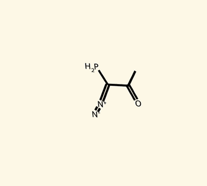 CC(=O)C(P)=[N+]=[N-]